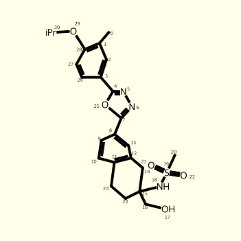 Cc1cc(-c2nnc(-c3ccc4c(c3)CC(CO)(NS(C)(=O)=O)CC4)o2)ccc1OC(C)C